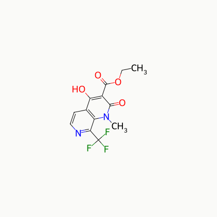 CCOC(=O)c1c(O)c2ccnc(C(F)(F)F)c2n(C)c1=O